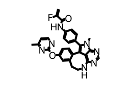 C=C(F)C(=O)Nc1ccc(-c2c3c4c(ncnc4n2C)NCCc2cc(Oc4nccc(C)n4)ccc2-3)cc1